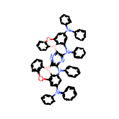 c1ccc(N(c2ccccc2)c2cc3c4c(c2)N(c2ccccc2)c2nc5c(nc2B4c2ccccc2O3)B2c3ccccc3Oc3cc(N(c4ccccc4)c4ccccc4)cc(c32)N5c2ccccc2)cc1